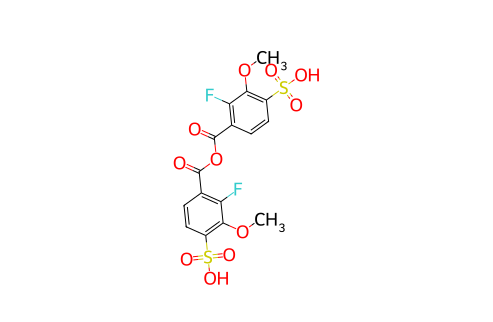 COc1c(S(=O)(=O)O)ccc(C(=O)OC(=O)c2ccc(S(=O)(=O)O)c(OC)c2F)c1F